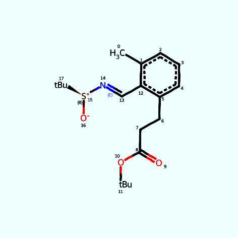 Cc1cccc(CCC(=O)OC(C)(C)C)c1/C=N/[S@@+]([O-])C(C)(C)C